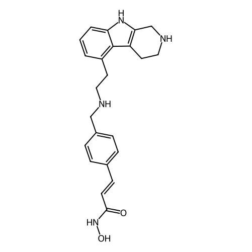 O=C(/C=C/c1ccc(CNCCc2cccc3[nH]c4c(c23)CCNC4)cc1)NO